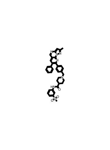 Cc1cc2ncc3cc(-c4ccccc4)c(-c4ccc(CN5CCC(C(=O)Nc6cccc(S(C)(=O)=O)c6)CC5)cc4)nc3n2n1